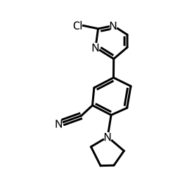 N#Cc1cc(-c2ccnc(Cl)n2)ccc1N1CCCC1